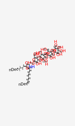 CCCCCCCCCCCCC/C=C/[C@@H](O)[C@H](CO[C@@H]1OC(CO)[C@@H](O[C@@H]2OC(CO)[C@H](O[C@@H]3OC(CO)[C@H](O)[C@H](O[C@@H]4OC(CO)[C@H](O)[C@H](O)C4O)C3O)[C@H](O)C2O)[C@H](O)C1O)NC(=O)CCCCCCCCCCCCCCCCC